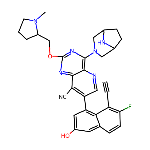 C#Cc1c(F)ccc2cc(O)cc(-c3cnc4c(N5CC6CCC(C5)N6)nc(OCC5CCCN5C)nc4c3C#N)c12